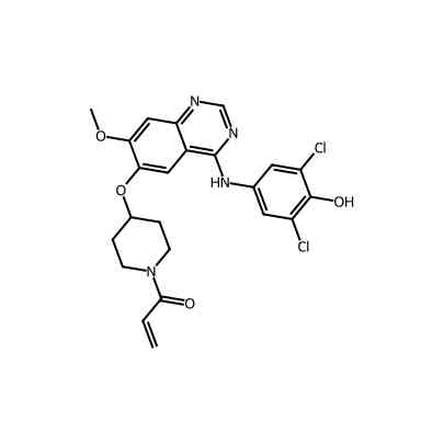 C=CC(=O)N1CCC(Oc2cc3c(Nc4cc(Cl)c(O)c(Cl)c4)ncnc3cc2OC)CC1